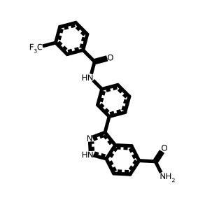 NC(=O)c1ccc2[nH]nc(-c3cccc(NC(=O)c4cccc(C(F)(F)F)c4)c3)c2c1